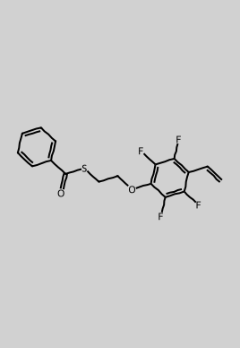 C=Cc1c(F)c(F)c(OCCSC(=O)c2ccccc2)c(F)c1F